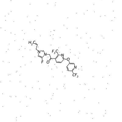 C=CC[n+]1cc(F)n(CC(=O)c2ccc(Oc3ccc(C(F)(F)F)nc3)nc2C(F)(F)F)c1